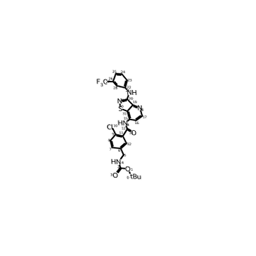 CC(C)(C)OC(=O)NCc1ccc(Cl)c(C(=O)Nc2ccnc3c(Nc4cccc(C(F)(F)F)c4)nsc23)c1